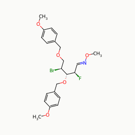 CON=C[C@@H](F)[C@H](OCc1ccc(OC)cc1)[C@@H](Br)COCc1ccc(OC)cc1